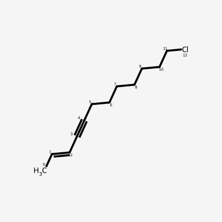 CC=CC#CCCCCCCCCl